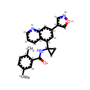 COc1ccc(C)c(C(=O)NC2(c3cc(-c4cnoc4)cc4ncccc34)CC2)c1